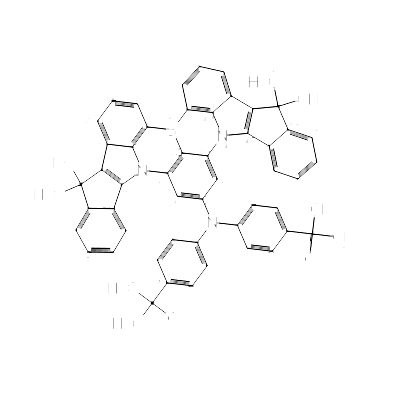 CC(C)(C)c1ccc(N(c2ccc(C(C)(C)C)cc2)c2cc3c4c(c2)-n2c5c(c6cccc(c62)B4c2cccc4c6c(n-3c24)-c2ccccc2C6(C)C)C(C)(C)c2ccccc2-5)cc1